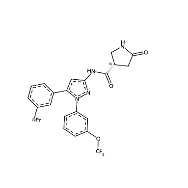 CCCc1cccc(-c2cc(NC(=O)[C@@H]3CNC(=O)C3)nn2-c2cccc(OC(F)(F)F)c2)c1